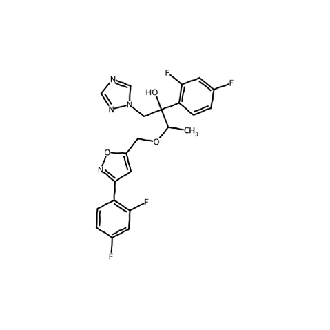 CC(OCc1cc(-c2ccc(F)cc2F)no1)C(O)(Cn1cncn1)c1ccc(F)cc1F